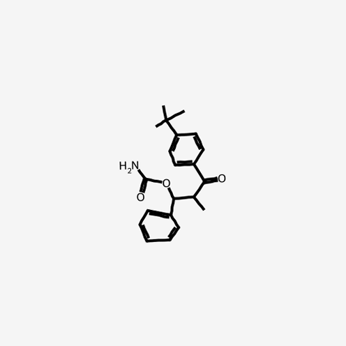 CC(C(=O)c1ccc(C(C)(C)C)cc1)C(OC(N)=O)c1ccccc1